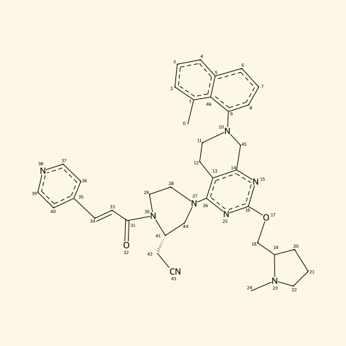 Cc1cccc2cccc(N3CCc4c(nc(OCC5CCCN5C)nc4N4CCN(C(=O)/C=C/c5ccncc5)[C@@H](CC#N)C4)C3)c12